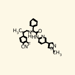 C[C@H](CN[C@H](C(=O)Nc1ccc(-c2cnn(C)c2)cn1)c1ccccc1)c1ccc(C#N)c(F)c1